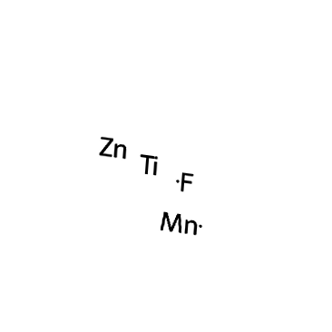 [F].[Mn].[Ti].[Zn]